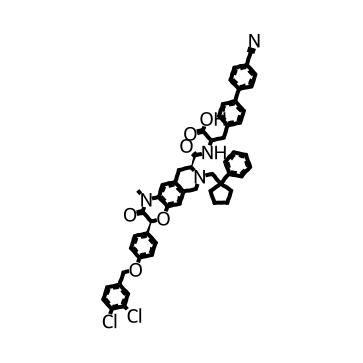 CN1C(=O)[C@H](c2ccc(OCc3ccc(Cl)c(Cl)c3)cc2)Oc2cc3c(cc21)C[C@@H](C(=O)NC(Cc1ccc(-c2ccc(C#N)cc2)cc1)C(=O)O)N(CC1(c2ccccc2)CCCC1)C3